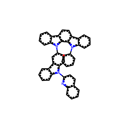 c1ccc(-n2c3ccccc3c3ccc4c5ccccc5n(-c5ccc6c(c5)c5ccccc5n6-c5ccc6ccccc6n5)c4c32)cc1